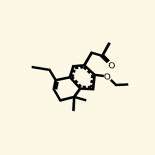 CCOc1cc2c(cc1CC(C)=O)C(CC)=CCC2(C)C